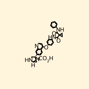 O=C(O)N1C[C@@H]2C[C@]1(c1ccc3c(Oc4ccc(NC(=O)C5(C(=O)Nc6ccccc6)CC5)cc4)ccnc3c1)CN2